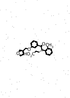 Cc1ccccc1[C@H](CCC(=O)O)C(=O)c1cccc(OCc2ccoc2)c1